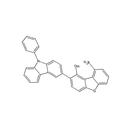 Bc1cccc2oc3ccc(-c4ccc5c(c4)c4ccccc4n5-c4ccccc4)c(O)c3c12